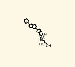 N#C/C(=C\c1ccc(-c2ccc3cc(N4CCCCC4)ccc3c2)s1)S(=O)(=O)NCC(O)CO